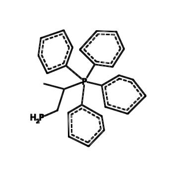 CC(CP)P(c1ccccc1)(c1ccccc1)(c1ccccc1)c1ccccc1